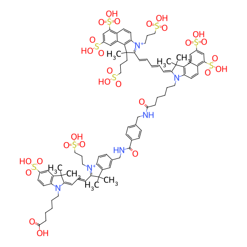 CC1(C)C(/C=C/C=C2/N(CCCCCC(=O)O)c3ccc(S(=O)(=O)O)cc3C2(C)C)=[N+](CCCS(=O)(=O)O)c2ccc(CNC(=O)c3ccc(CNC(=O)CCCCCN4/C(=C/C=C/C=C/C5=[N+](CCCS(=O)(=O)O)c6ccc7c(S(=O)(=O)O)cc(S(=O)(=O)O)cc7c6C5(C)CCCS(=O)(=O)O)C(C)(C)c5c4ccc4c(S(=O)(=O)O)cc(S(=O)(=O)O)cc54)cc3)cc21